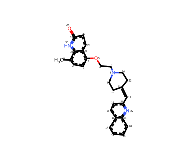 Cc1ccc(OCCN2CCC(=Cc3ccc4ccccc4n3)CC2)c2ccc(=O)[nH]c12